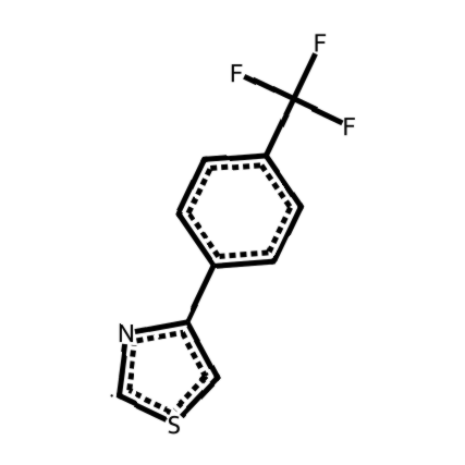 FC(F)(F)c1ccc(-c2cs[c]n2)cc1